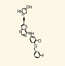 O[C@H]1CN[C@@H](C#Cc2cc3ncnc(Nc4ccc(OCc5cccc(F)c5)c(Cl)c4)c3s2)C1